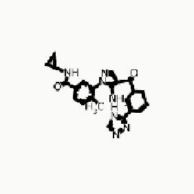 Cc1ccc(C(=O)NC2CC2)cc1-n1ncc(C(=O)C2C=C(c3nnc[nH]3)C=CC2)c1N